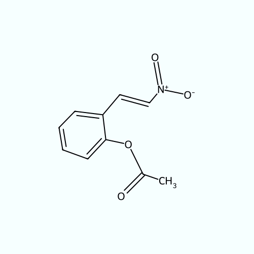 CC(=O)Oc1ccccc1C=C[N+](=O)[O-]